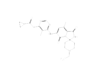 Cc1cc(Nc2ncnc(CC(=O)C3CC3)c2C)c(=O)n2c1C(=O)NC21CCN(CC(F)(F)F)CC1